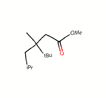 COC(=O)CC(C)(CC(C)C)C(C)(C)C